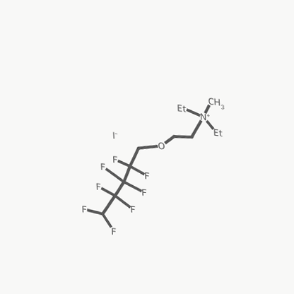 CC[N+](C)(CC)CCOCC(F)(F)C(F)(F)C(F)(F)C(F)F.[I-]